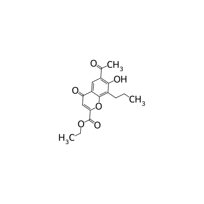 CCCc1c(O)c(C(C)=O)cc2c(=O)cc(C(=O)OCC)oc12